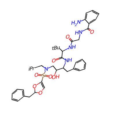 CC(C)CN(CC(O)C(Cc1ccccc1)NC(=O)C(NC(=O)CNC(=O)c1ccccc1N)C(C)(C)C)S(=O)(=O)C1=COC(Cc2ccccc2)O1